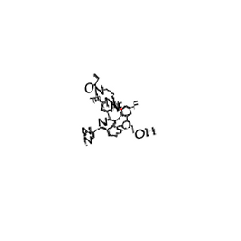 C=CC(=O)N1CCn2nc(-c3nc(-c4cn(C)cn4)c4ccsc4c3-c3c(F)cc(F)cc3OCCO)cc2[C@H]1C